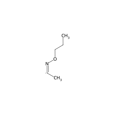 C/[C]=N\OCCC